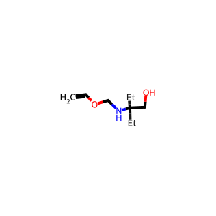 C=COCNC(CC)(CC)CO